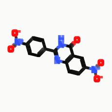 O=c1[nH]c(-c2ccc([N+](=O)[O-])cc2)nc2ccc([N+](=O)[O-])cc12